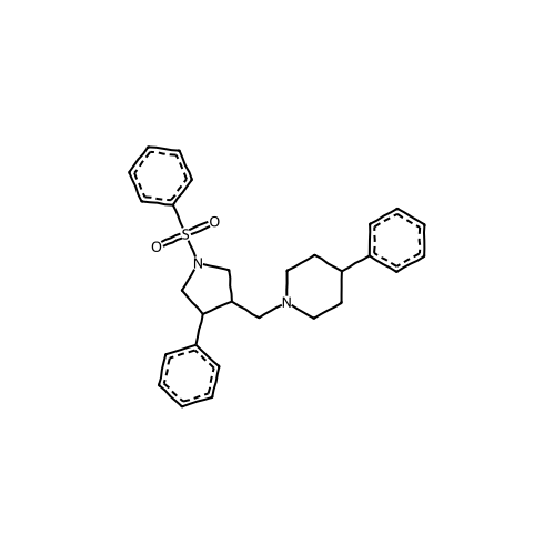 O=S(=O)(c1ccccc1)N1CC(CN2CCC(c3ccccc3)CC2)C(c2ccccc2)C1